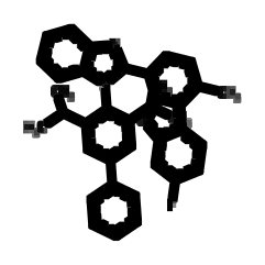 Cc1ccc(-c2nc3ccccc3n2-c2c(C(C)C)cc(-c3ccccc3)cc2C(C)C)c2oc3cc(F)ccc3c12